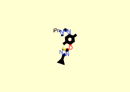 Cc1cc(Oc2nc(C3CC3)ns2)c(C)cc1/N=C\N(C)C(C)C